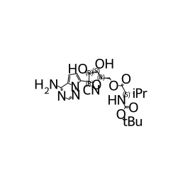 CC(C)[C@H](NC(=O)OC(C)(C)C)C(=O)OC[C@H]1O[C@@](C#N)(c2ccc3c(N)ncnn23)[C@H](O)[C@@H]1O